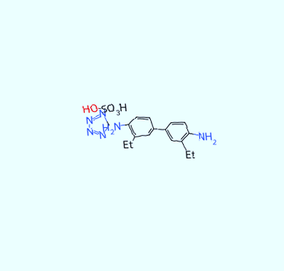 C1N=NN=N1.CCc1cc(-c2ccc(N)c(CC)c2)ccc1N.O=S(=O)(O)O